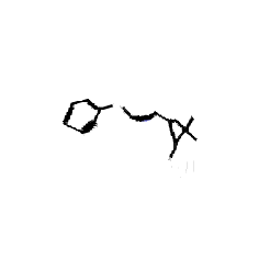 CC1(C)C(/C=C/Sc2ccccc2)C1C(=O)O